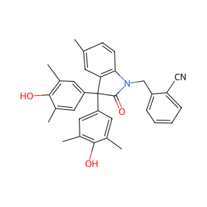 Cc1ccc2c(c1)C(c1cc(C)c(O)c(C)c1)(c1cc(C)c(O)c(C)c1)C(=O)N2Cc1ccccc1C#N